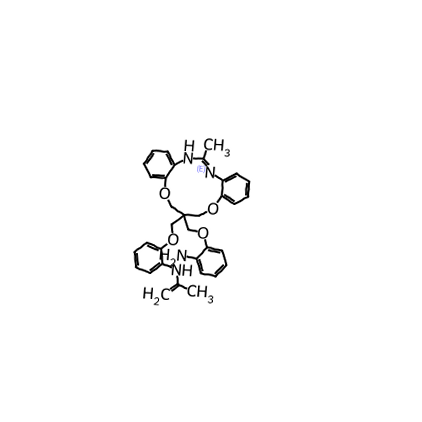 C=C(C)Nc1ccccc1OCC1(COc2ccccc2N)COc2ccccc2/N=C(\C)Nc2ccccc2OC1